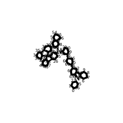 c1ccc(-n2c3ccccc3c3cc(-c4ccc(-c5cccc(N(c6ccc7c(c6)C6(c8ccccc8-c8ccccc86)c6ccccc6-7)c6ccc7ccccc7c6)c5)cc4)ccc32)cc1